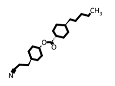 CCCCC[C@H]1CC[C@H](C(=O)O[C@H]2CC[C@H](CCC#N)CC2)CC1